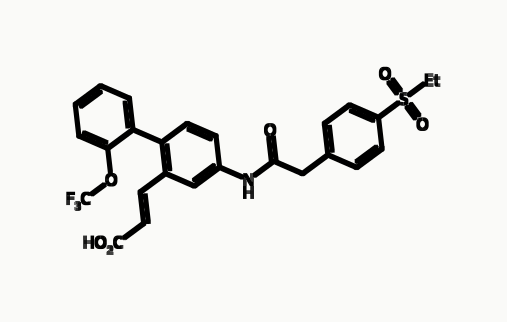 CCS(=O)(=O)c1ccc(CC(=O)Nc2ccc(-c3ccccc3OC(F)(F)F)c(C=CC(=O)O)c2)cc1